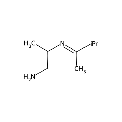 C/C(=N\C(C)CN)C(C)C